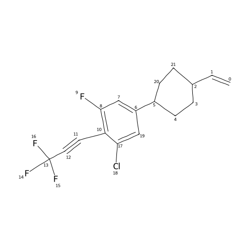 C=CC1CCC(c2cc(F)c(C#CC(F)(F)F)c(Cl)c2)CC1